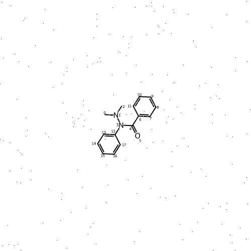 CN(C)N(C(=O)c1ccccc1)c1ccccc1